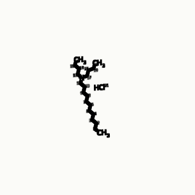 CCCCCCCCCCCCN(CCCC)CCCC.Cl